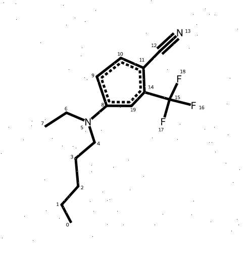 CCCCCN(CC)c1ccc(C#N)c(C(F)(F)F)c1